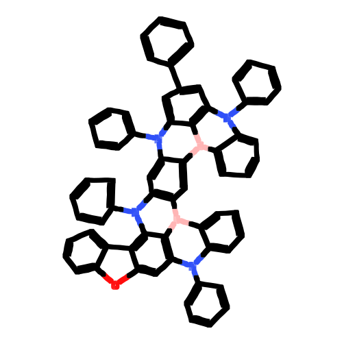 c1ccc(-c2cc3c4c(c2)N(c2ccccc2)c2cc5c(cc2B4c2ccccc2N3c2ccccc2)B2c3ccccc3N(c3ccccc3)c3cc4oc6ccccc6c4c(c32)N5c2ccccc2)cc1